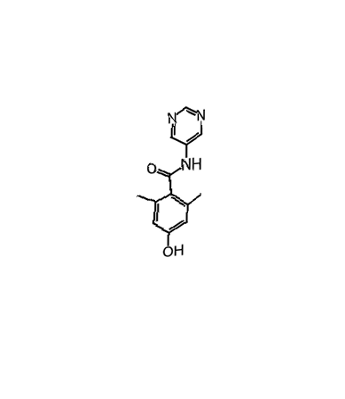 Cc1cc(O)cc(C)c1C(=O)Nc1cncnc1